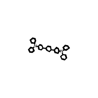 C1=CCC(N(c2ccccc2)c2ccc(C3C=CC(C4C=CC(N(c5ccccc5)c5ccccc5)=CC4)=CC3)cc2)C=C1